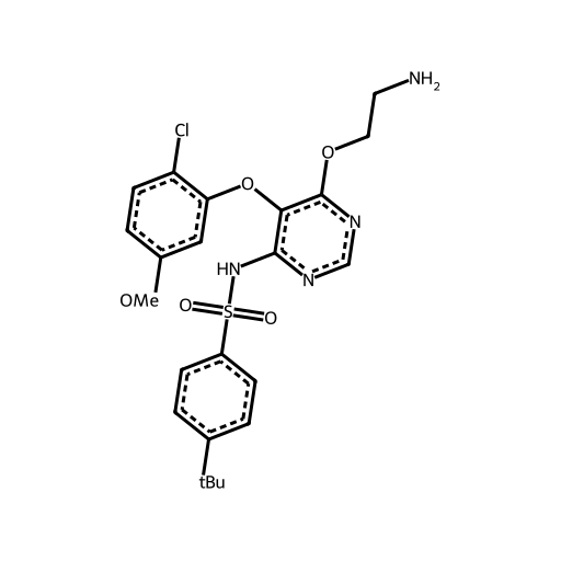 COc1ccc(Cl)c(Oc2c(NS(=O)(=O)c3ccc(C(C)(C)C)cc3)ncnc2OCCN)c1